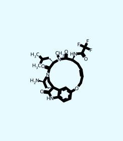 CC(C)C[C@H]1C(=O)N2C[C@]3(C[C@H]2N)C(=O)Nc2ccc(cc23)OC/C=C\C[C@H](NC(=O)C(F)(F)F)C(=O)N1C